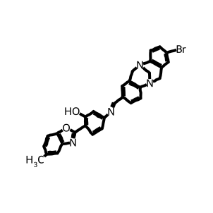 Cc1ccc2oc(-c3ccc(/N=C/c4ccc5c(c4)CN4CN5Cc5cc(Br)ccc54)cc3O)nc2c1